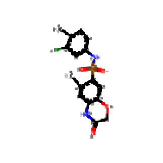 Cc1ccc(NS(=O)(=O)c2cc3c(cc2C)NC(=O)CO3)cc1F